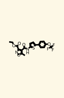 CCOC(=O)c1noc(C)c1C(=O)Nc1ccc(-c2ccc(OC(F)(F)F)cc2)s1